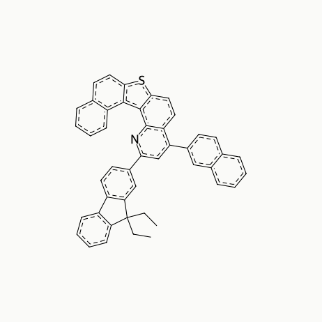 CCC1(CC)c2ccccc2-c2ccc(-c3cc(-c4ccc5ccccc5c4)c4ccc5sc6ccc7ccccc7c6c5c4n3)cc21